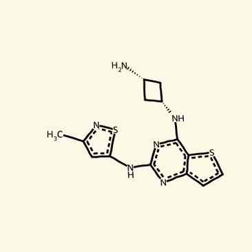 Cc1cc(Nc2nc(N[C@H]3C[C@@H](N)C3)c3sccc3n2)sn1